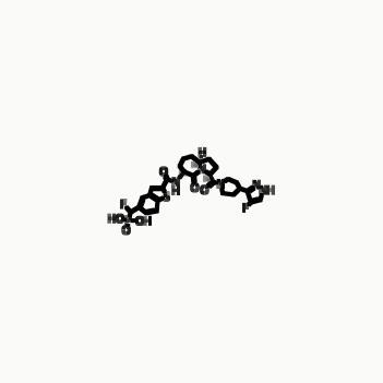 O=C(N[C@H]1CCC[C@H]2CC[C@@H](C(=O)N3CCC(c4n[nH]cc4F)CC3)N2C1=O)c1cc2cc(C(F)P(=O)(O)O)ccc2s1